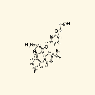 Cc1cc(-c2c(OCc3cccc(OCCO)n3)nc(N)nc2-c2ccc(F)cc2)cc(C(F)F)n1